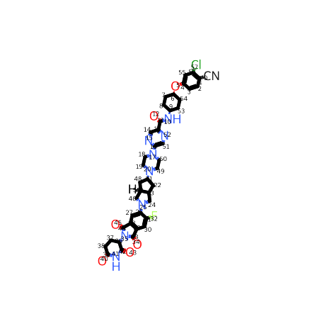 N#Cc1ccc(O[C@H]2CC[C@H](NC(=O)c3cnc(N4CCN([C@H]5CC6CN(c7cc8c(cc7F)C(=O)N(C7CCC(=O)NC7=O)C8=O)C[C@H]6C5)CC4)cn3)CC2)cc1Cl